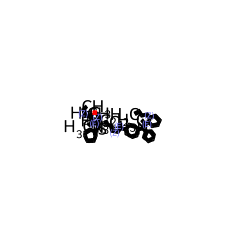 C=CC/C=c1/cccc/c1=C(/C)N(c1ccccc1)C1C=CC=C(C(/C=C\CC(=C)SN(C2=CC=CCC=C2)C(/C=C\C)=C(\C)C(=C)/C=C\C)=C/C)C=C1